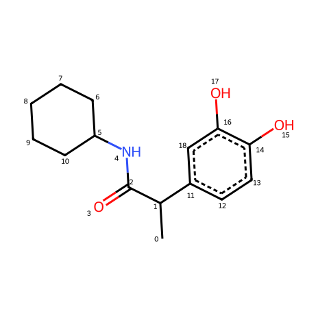 CC(C(=O)NC1CCCCC1)c1ccc(O)c(O)c1